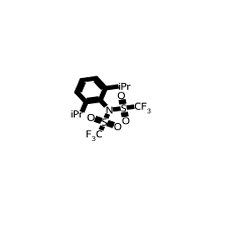 CC(C)c1cccc(C(C)C)c1N(S(=O)(=O)C(F)(F)F)S(=O)(=O)C(F)(F)F